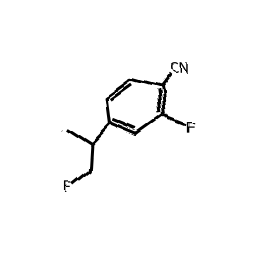 [CH2]C(CF)c1ccc(C#N)c(F)c1